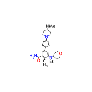 CCN(c1cc(-c2ccc(N3CCC(NC)CC3)cc2)cc(C(N)=O)c1C)C1CCOCC1